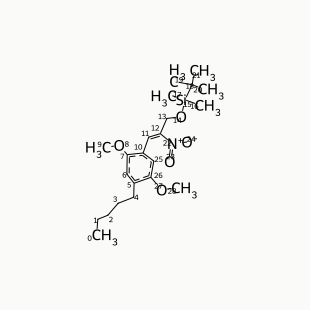 CCCCCc1cc(OC)c(C=C(CO[Si](C)(C)C(C)(C)C)[N+](=O)[O-])cc1OC